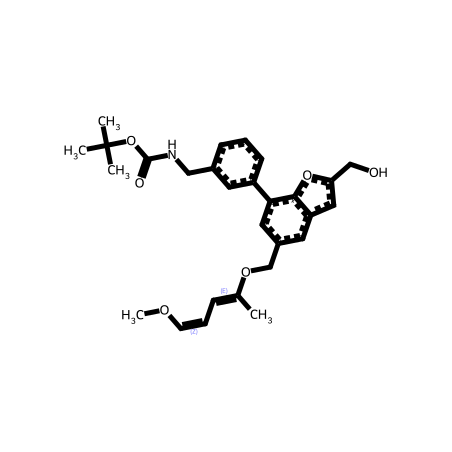 CO/C=C\C=C(/C)OCc1cc(-c2cccc(CNC(=O)OC(C)(C)C)c2)c2oc(CO)cc2c1